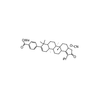 COC(=O)c1ccc(C2=CC[C@@]3(C)C(CC[C@]4(C)C3CCC3C5=C(C(C)C)C(=O)C[C@]5(OC#N)CC[C@]34C)C2(C)C)cc1